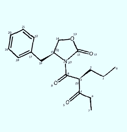 CCC[C@@H](C(=O)CC)C(=O)N1C(=O)OC[C@@H]1Cc1ccccc1